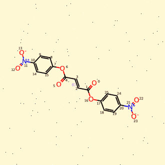 O=C(/C=C/C(=O)Oc1ccc([N+](=O)[O-])cc1)Oc1ccc([N+](=O)[O-])cc1